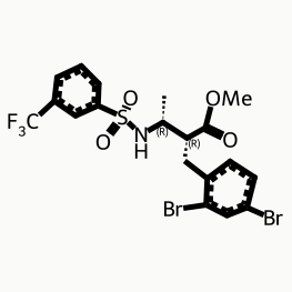 COC(=O)[C@H](Cc1ccc(Br)cc1Br)[C@@H](C)NS(=O)(=O)c1cccc(C(F)(F)F)c1